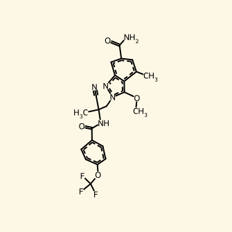 COc1c2c(C)cc(C(N)=O)cc2nn1CC(C)(C#N)NC(=O)c1ccc(OC(F)(F)F)cc1